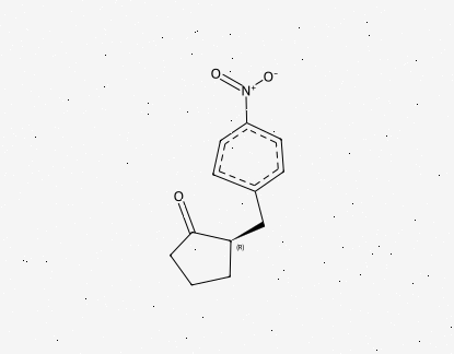 O=C1CCC[C@@H]1Cc1ccc([N+](=O)[O-])cc1